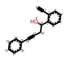 C#Cc1ccccc1C(O)CC#Cc1ccccc1